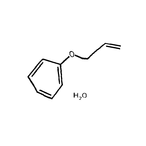 C=CCOc1ccccc1.O